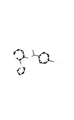 O=C(O)C(Oc1cccnc1-n1cccc1)c1ccc(O)cc1